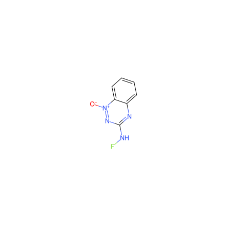 [O-][n+]1nc(NF)nc2ccccc21